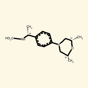 C[C@@H]1CN(c2ccc([C@@H](C)NC(=O)O)cc2)C[C@H](C)O1